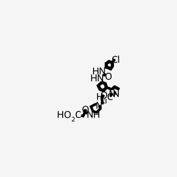 Cn1nccc1-c1cc(NC(=O)Nc2ccc(Cl)cc2)ccc1OCCN1CCC(NC(=O)CC(=O)O)CC1